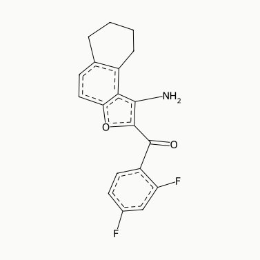 Nc1c(C(=O)c2ccc(F)cc2F)oc2ccc3c(c12)CCCC3